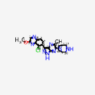 COc1cnc2ccc(-c3n[nH]c4nc(N5C6CCC5CNC6)c(C)nc34)c(Cl)c2n1